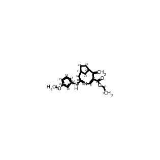 C=C1/C(C(=O)OCC)=C\N=C(\Nc2cccc(OC)c2)CC2CCC1C2